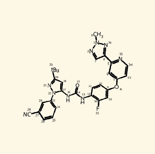 Cn1ncc(-c2cc(Oc3ccc(NC(=O)Nc4cc(C(C)(C)C)nn4-c4cccc(C#N)c4)c(F)c3)ccn2)n1